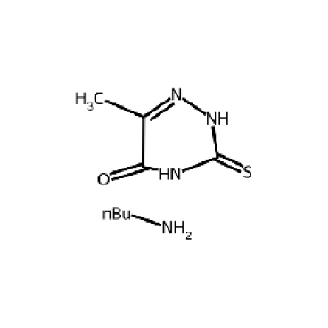 CCCCN.Cc1n[nH]c(=S)[nH]c1=O